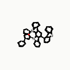 c1ccc(-c2cccc(-n3c4ccccc4c4c(-c5cccc6sc7ccccc7c56)cc5c6ccccc6n(-c6ccccc6)c5c43)c2)cc1